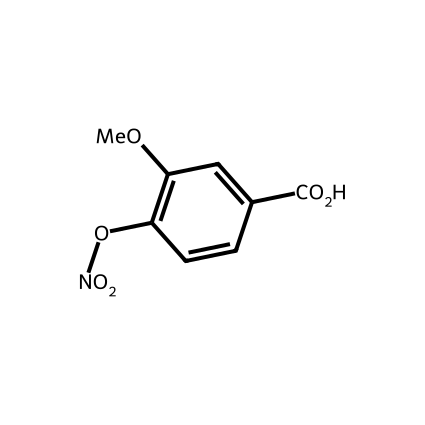 COc1cc(C(=O)O)ccc1O[N+](=O)[O-]